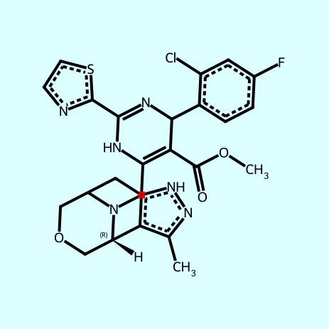 COC(=O)C1=C(CN2C3COC[C@H]2c2c(C)n[nH]c2C3)NC(c2nccs2)=NC1c1ccc(F)cc1Cl